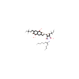 CCCCCCC(CCCC)CN1C(=O)c2c(-c3cc4cc5c(OC)c6sc(C(C)(C)CC)cc6cc5c(OC)c4s3)sc(C(C)(C)CC)c2C1=O